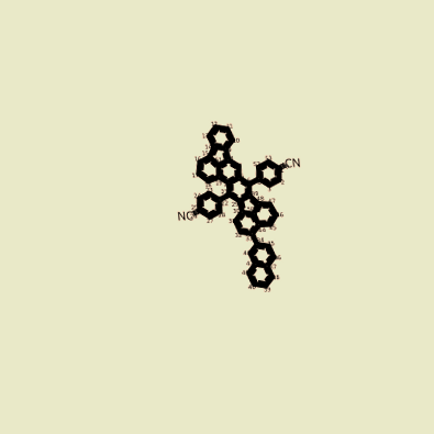 N#Cc1ccc(-c2c3cc4c5ccccc5c5cccc(c3c(-c3ccc(C#N)cc3)c3c6ccc(-c7ccc8ccccc8c7)c7cccc(c23)c76)c54)cc1